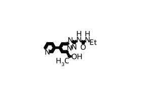 CCNC(=O)Nc1nc2cc(-c3cccnc3)cc(C(C)O)n2n1